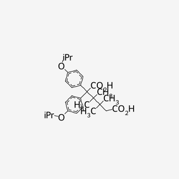 CC(C)Oc1ccc(C(C(=O)O)(c2ccc(OC(C)C)cc2)C(C)(C)C(C)(C)CC(=O)O)cc1